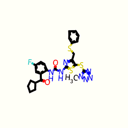 Cn1nnnc1Sc1sc(NC(=O)Nc2ccc(F)cc2C(=O)C2CCCC2)nc1CSc1ccccc1